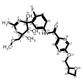 COC[C@@]1(C)SC(N)=N[C@](C)(c2cc(NC(=O)c3cnc(OCC4CCO4)cn3)ccc2F)[C@@H]1C